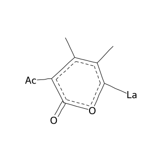 CC(=O)c1c(C)c(C)[c]([La])oc1=O